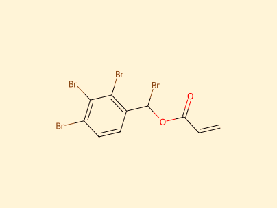 C=CC(=O)OC(Br)c1ccc(Br)c(Br)c1Br